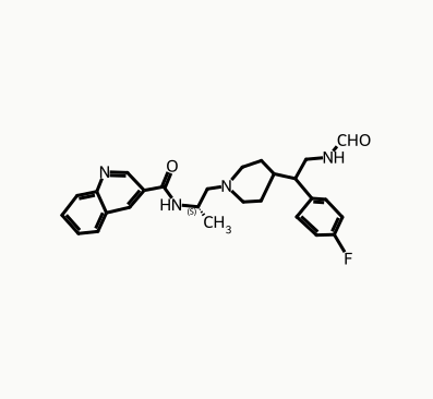 C[C@@H](CN1CCC(C(CNC=O)c2ccc(F)cc2)CC1)NC(=O)c1cnc2ccccc2c1